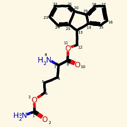 NC(=O)OCCCC(N)C(=O)OCC1c2ccccc2-c2ccccc21